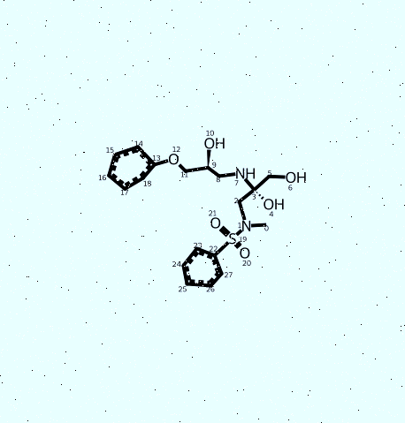 CN(C[C@](O)(CO)NC[C@H](O)COc1ccccc1)S(=O)(=O)c1ccccc1